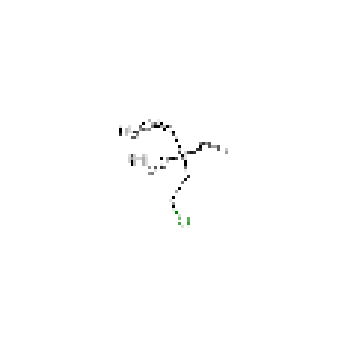 C=C[Si](C)(C)CCCl